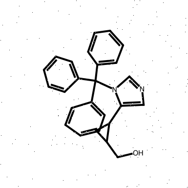 OCC1CC1c1cncn1C(c1ccccc1)(c1ccccc1)c1ccccc1